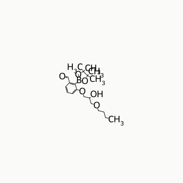 CCCCOC[C@H](O)COc1cccc(C=O)c1B1OC(C)(C)C(C)(C)O1